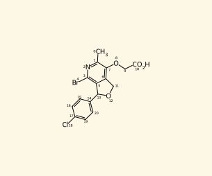 Cc1nc(Br)c2c(c1OCC(=O)O)COC2c1ccc(Cl)cc1